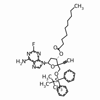 C#CC1(CO[Si](c2ccccc2)(c2ccccc2)C(C)(C)C)O[C@@H](n2cnc3c(N)nc(F)nc32)C[C@@H]1OC(=O)CCCCCCCCC